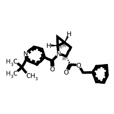 CC(C)(C)c1cc(C(=O)N2[C@@H](C(=O)OCc3ccccc3)C[C@H]3C[C@H]32)ccn1